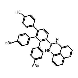 CCCCc1ccc(-c2c(B3Nc4cccc5cccc(c45)N3)ccc(-c3ccc(O)cc3)c2-c2ccc(CCCC)cc2)cc1